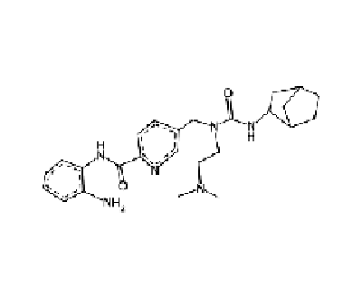 CN(C)CCN(Cc1ccc(C(=O)Nc2ccccc2N)nc1)C(=O)NC1CC2CCC1C2